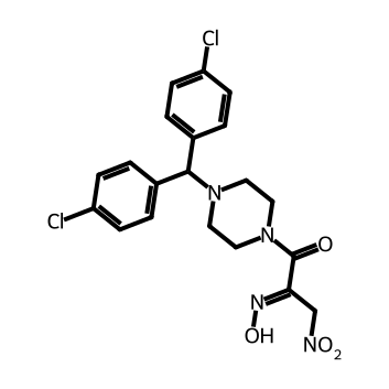 O=C(C(C[N+](=O)[O-])=NO)N1CCN(C(c2ccc(Cl)cc2)c2ccc(Cl)cc2)CC1